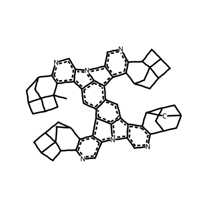 CC12CC3CC4CC(CC431)c1ncc3c(c12)c1cc2c(cc4c5c6c(ncc5n5c7cnc8c(c7c2c45)C2CC4CC5CC8C45C2)C2CC4CC(C2)C6C4)c2c4c5c(ncc4n3c12)C1CC2CC3CC5CC321